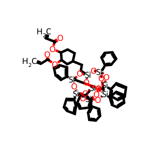 C=CC(=O)OC1CCC(CC[Si]23O[Si]4(c5ccccc5)O[Si]5(c6ccccc6)O[Si](c6ccccc6)(O2)O[Si]2(c6ccccc6)O[Si](c6ccccc6)(O3)O[Si](c3ccccc3)(O4)O[Si](c3ccccc3)(O5)O2)CC1OC(=O)C=C